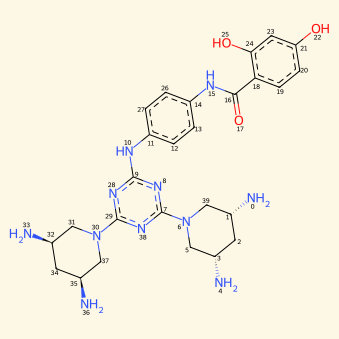 N[C@@H]1C[C@H](N)CN(c2nc(Nc3ccc(NC(=O)c4ccc(O)cc4O)cc3)nc(N3C[C@H](N)C[C@H](N)C3)n2)C1